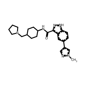 Cn1cc(-c2ccc3[nH]nc(C(=O)NC4CCC(CN5CCCC5)CC4)c3c2)cn1